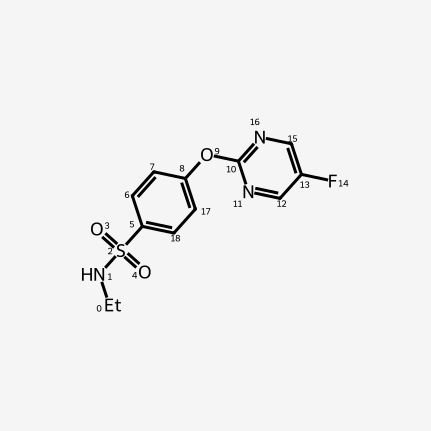 CCNS(=O)(=O)c1ccc(Oc2ncc(F)cn2)cc1